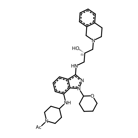 CC(=O)N1CCC(Nc2cccc3c(NC[C@H](O)CN4CCc5ccccc5C4)nn(C4CCCCO4)c23)CC1